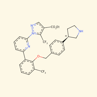 CCOC(=O)c1cnn(-c2cccc(-c3cccc(C(F)(F)F)c3OCc3ccc([C@H]4CCNC4)cc3)n2)c1C(F)(F)F